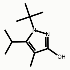 Cc1c(O)nn(C(C)(C)C)c1C(C)C